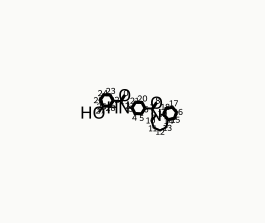 O=C(Nc1ccc(C(=O)N2CCCCc3ccccc32)cc1)c1cccc(O)c1